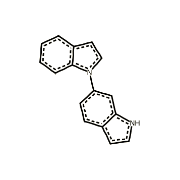 [c]1cccc2ccn(-c3ccc4cc[nH]c4c3)c12